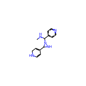 CNC(c1ccncc1)N1NC1C1=CCNC=C1